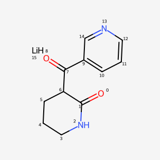 O=C1NCCCC1C(=O)c1cccnc1.[LiH]